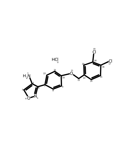 Cl.Nc1conc1-c1ccc(OCc2ccc(Cl)c(Cl)c2)cc1